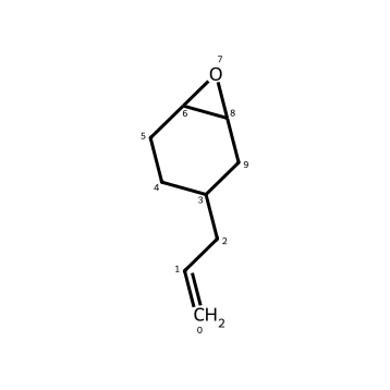 C=CCC1CCC2OC2C1